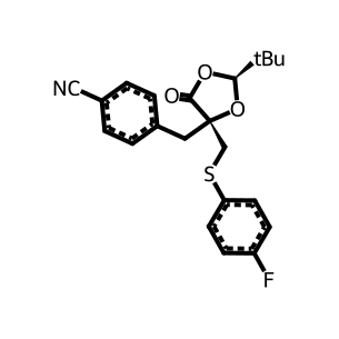 CC(C)(C)[C@@H]1OC(=O)[C@@](CSc2ccc(F)cc2)(Cc2ccc(C#N)cc2)O1